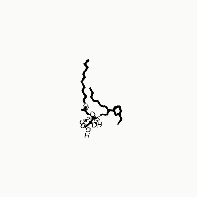 CCCCCCCCCCOC(C)COC(SCCC(CCCCCCC)c1cccc(CC)c1)C(O)([PH2]=O)C(=O)O